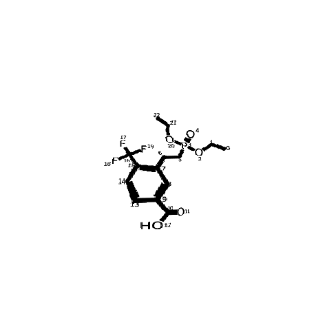 CCOP(=O)(CCc1cc(C(=O)O)ccc1C(F)(F)F)OCC